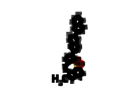 CC1=Cc2cccc3c2C1CCc1ccc(-c2ccc4cc(-c5ccc6ccccc6c5)ccc4c2)cc1S3(=O)=O